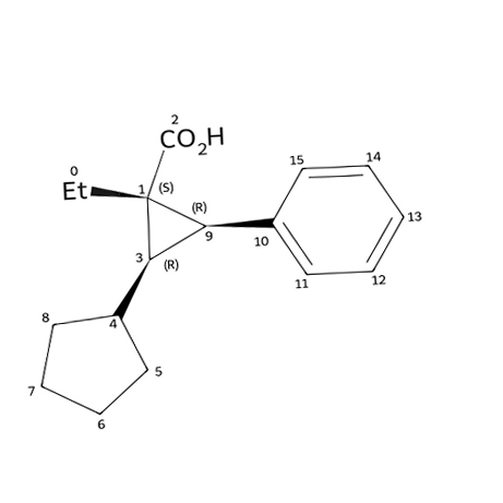 CC[C@]1(C(=O)O)[C@H](C2CCCC2)[C@@H]1c1ccccc1